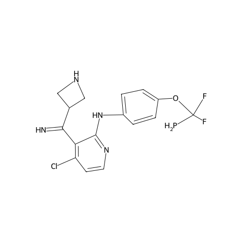 N=C(c1c(Cl)ccnc1Nc1ccc(OC(F)(F)P)cc1)C1CNC1